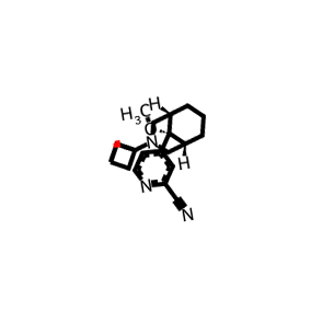 CO[C@@]1(c2ccnc(C#N)c2)[C@@H]2CCC[C@H]1CN(C13CC(C1)C3)C2